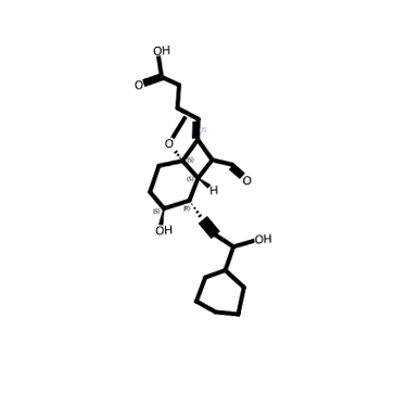 CO[C@@]12CC[C@H](O)[C@@H](C#CC(O)C3CCCCC3)[C@H]1C(C=O)/C2=C/CCC(=O)O